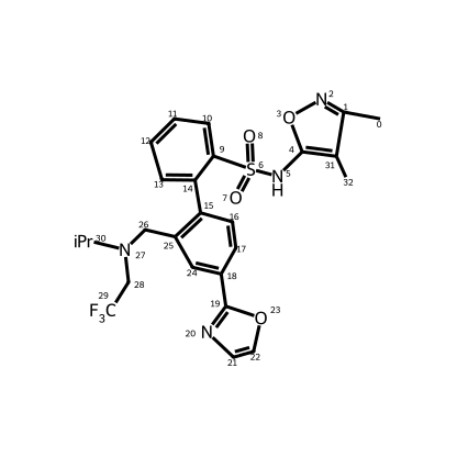 Cc1noc(NS(=O)(=O)c2ccccc2-c2ccc(-c3ncco3)cc2CN(CC(F)(F)F)C(C)C)c1C